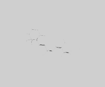 CC1=C(/C=C/C(C)=C\C=C(CO)/C(C)=C\C(=O)O)C(C)(C)CCC1